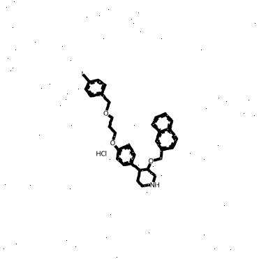 Cl.Ic1ccc(COCCCOc2ccc(C3CCNCC3OCc3ccc4ccccc4c3)cc2)cc1